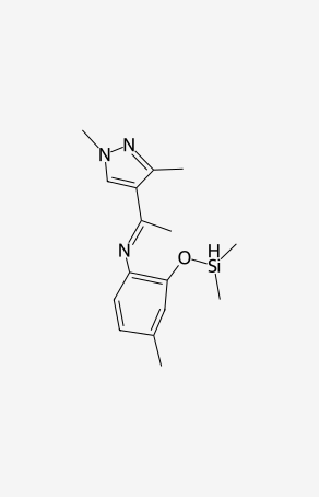 CC(=Nc1ccc(C)cc1O[SiH](C)C)c1cn(C)nc1C